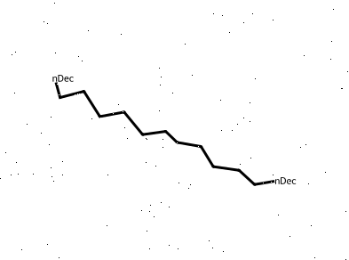 [CH2]CCCCCCCCCCCCCCCCCCCCCCCCCCCCC[CH2]